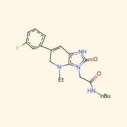 CCCCNC(=O)Cn1c2c([nH]c1=O)C=C(c1cccc(F)c1)CN2CC